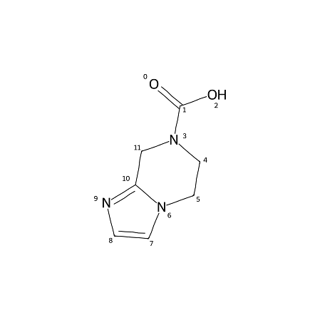 O=C(O)N1CCn2ccnc2C1